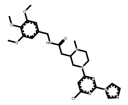 COc1cc(CNC(=O)CC2CN(c3cc(Cl)nc(-n4ccnc4)n3)CCN2C)cc(OC)c1OC